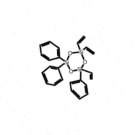 C=C[Si]1(C=C)O[Si](C=C)(c2ccccc2)O[Si](c2ccccc2)(c2ccccc2)O1